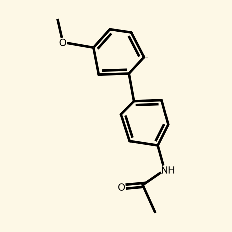 COc1cc[c]c(-c2ccc(NC(C)=O)cc2)c1